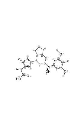 COc1cc([C@@H](O)[C@H](CCc2nc(C(C)C(=O)O)c(C)s2)OC2CCCC2)cc(OC)c1C